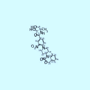 CC(CO)(CO)NC(=O)c1ccc(N2CCC(N3C(=O)OCc4ccccc43)CC2)c([N+](=O)[O-])c1